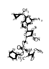 CC(C)OC(=O)[C@@H](C)NP(=O)(OC[C@H]1O[C@@H](n2cnc3c(N(C)C4CC4)nc(N)nc32)[C@H](F)[C@@H]1O)Oc1ccccc1